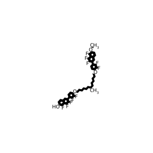 CCOc1ccc2cc(-c3ccc(OCCCCCCC(C)CCCCCCOc4ccc(-c5cc6ccc(O)c(F)c6c(F)c5F)c(F)c4F)c(F)c3F)c(F)c(F)c2c1F